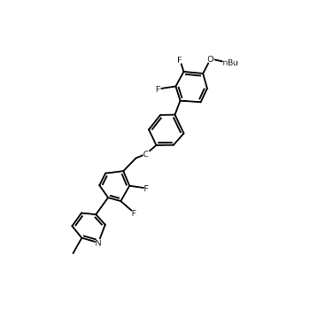 CCCCOc1ccc(-c2ccc(CCc3ccc(-c4ccc(C)nc4)c(F)c3F)cc2)c(F)c1F